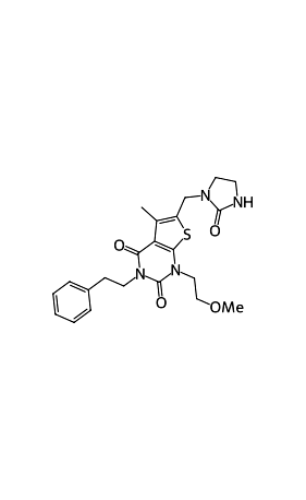 COCCn1c(=O)n(CCc2ccccc2)c(=O)c2c(C)c(CN3CCNC3=O)sc21